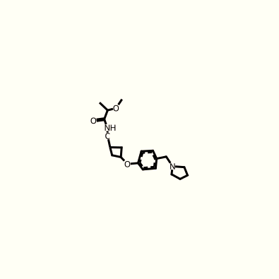 COC(C)C(=O)NCC1CC(Oc2ccc(CN3CCCC3)cc2)C1